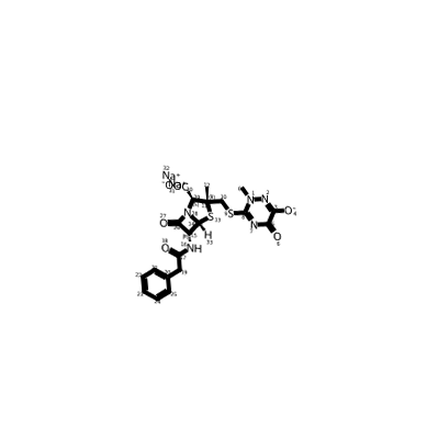 Cn1nc([O-])c(=O)nc1SC[C@]1(C)S[C@@H]2[C@H](NC(=O)Cc3ccccc3)C(=O)N2[C@H]1C(=O)[O-].[Na+].[Na+]